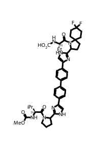 CC[C@H](NC(=O)O)C(=O)N1C(c2nc(-c3ccc(-c4ccc(-c5c[nH]c(C6CCCN6C(=O)[C@@H](NC(=O)OC)C(C)C)n5)cc4)cc3)c[nH]2)CCC12CCC(F)(F)CC2